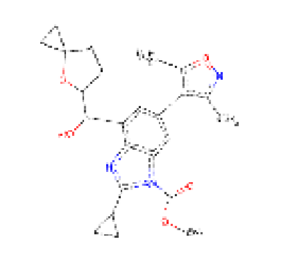 Cc1noc(C)c1-c1cc(C(O)C2CCC3(CC3)O2)c2nc(C3CC3)n(C(=O)OC(C)(C)C)c2c1